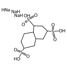 O=S(=O)(O)C1CCC2C(C1)CC(S(=O)(=O)O)CC2S(=O)(=O)O.[NaH].[NaH].[NaH]